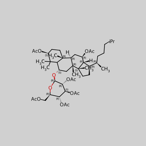 CC(=O)OC[C@H]1O[C@@H](O[C@H]2C[C@]3(C)[C@H](C[C@@H](OC(C)=O)[C@@H]4[C@@H]([C@H](C)CCCC(C)C)CC[C@@]43C)[C@@]3(C)CC[C@H](OC(C)=O)C(C)(C)C23)[C@H](OC(C)=O)[C@@H](OC(C)=O)[C@@H]1OC(C)=O